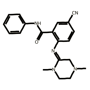 CN1CCN(C)/C(=N/c2ccc(C#N)cc2C(=O)Nc2ccccc2)C1